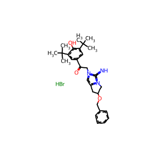 Br.CC(C)(C)c1cc(C(=O)Cn2cc3n(c2=N)CC(OCc2ccccc2)C3)cc(C(C)(C)C)c1O